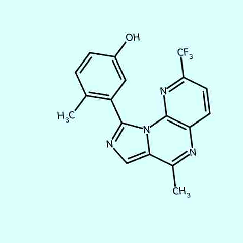 Cc1ccc(O)cc1-c1ncc2c(C)nc3ccc(C(F)(F)F)nc3n12